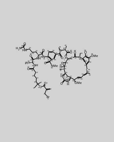 C=C(CBr)C(=O)OC(C)(C)CCCCC(=O)N[C@H](C(=O)N[C@@H](CCCNC(N)=O)C(=O)Nc1ccc(C(=O)N(C)[C@@H](C)C(=O)O[C@H]2CC(=O)N(C)c3cc(cc(OC)c3Cl)C/C(C)=C/C=C/[C@@H](OC)[C@@]3(O)C[C@H](OC(=O)N3)[C@@H](C)[C@@H]3O[C@@]23C)cc1C(=O)NC)C(C)C